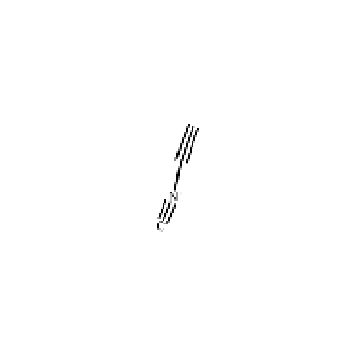 [C-]#[N+]C#C